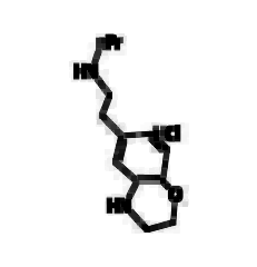 CCCNCCc1ccc2c(c1)NCCO2.Cl